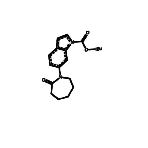 CC(C)(C)OC(=O)n1ccc2ccc(N3CCCCCC3=O)cc21